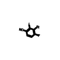 CCc1c(F)ccc(C#N)c1I